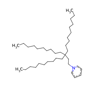 CCCCCCCCCCC(CCCCCCCCCC)(CCCCCCCCCC)CC[n+]1ccccc1